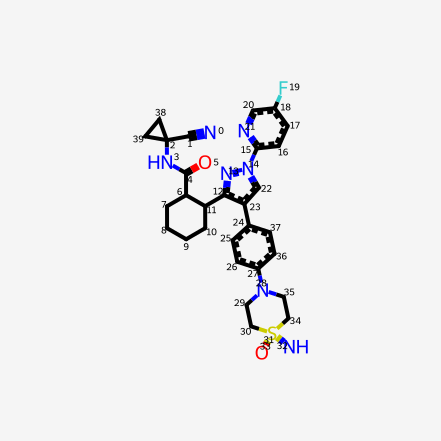 N#CC1(NC(=O)C2CCCCC2c2nn(-c3ccc(F)cn3)cc2-c2ccc(N3CCS(=N)(=O)CC3)cc2)CC1